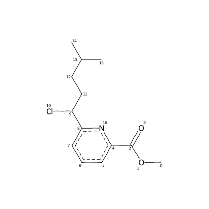 COC(=O)c1cccc(C(Cl)CCC(C)C)n1